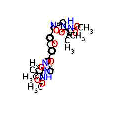 CC[C@H](C)[C@H](NC(=O)OC)C(=O)N1CCC[C@H]1c1ncc(-c2ccc3c(c2)Cc2ccc(-c4cnc([C@@H]5CCCN5C(=O)[C@@H](NC(=O)OC)[C@@H](C)CC)o4)cc2O3)o1